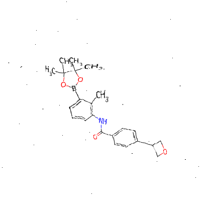 Cc1c(NC(=O)c2ccc(C3COC3)cc2)cccc1B1OC(C)(C)C(C)(C)O1